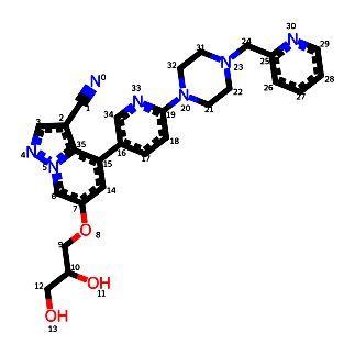 N#Cc1cnn2cc(OCC(O)CO)cc(-c3ccc(N4CCN(Cc5ccccn5)CC4)nc3)c12